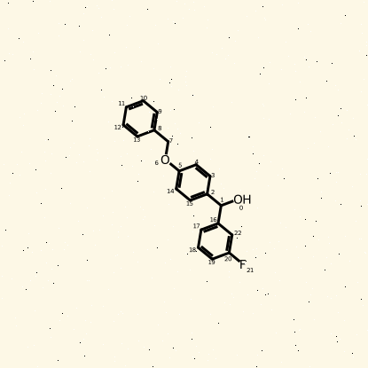 OC(c1ccc(OCc2ccccc2)cc1)c1cccc(F)c1